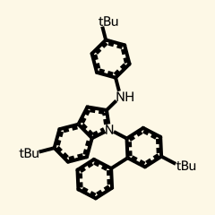 CC(C)(C)c1ccc(Nc2cc3cc(C(C)(C)C)ccc3n2-c2ccc(C(C)(C)C)cc2-c2ccccc2)cc1